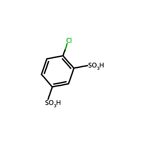 O=S(=O)(O)c1ccc(Cl)c(S(=O)(=O)O)c1